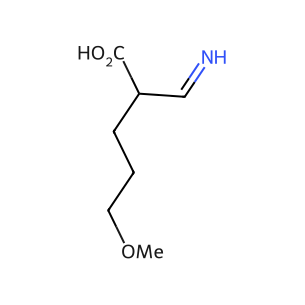 COCCCC(C=N)C(=O)O